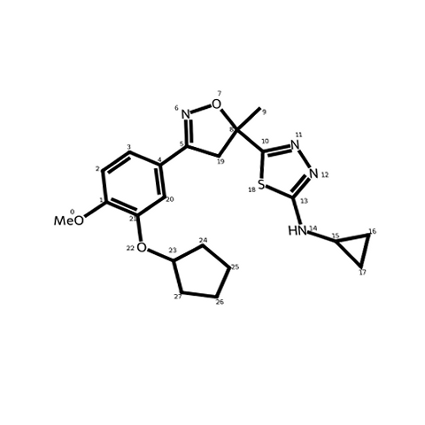 COc1ccc(C2=NOC(C)(c3nnc(NC4CC4)s3)C2)cc1OC1CCCC1